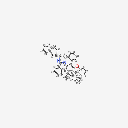 C1=CCC2C(=C1)Oc1c(-c3ccccc3-c3cc(C4C=c5ccccc5=CC4)nc(-c4ccccc4)n3)cccc1C21c2ccccc2-c2ccccc21